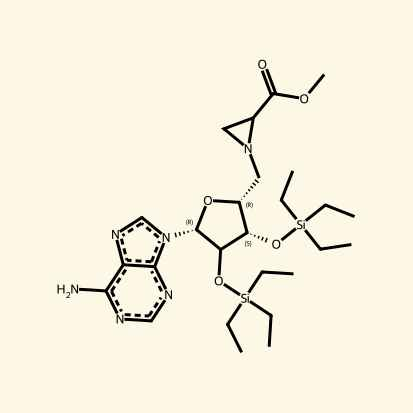 CC[Si](CC)(CC)OC1[C@@H](O[Si](CC)(CC)CC)[C@@H](CN2CC2C(=O)OC)O[C@H]1n1cnc2c(N)ncnc21